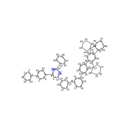 c1ccc(-c2ccc(-c3cc(-c4cccc(-c5cccc(-c6ccc7c(c6)C6(CCCCC6)c6cc8c(cc6-7)C6(CCCCC6)c6ccccc6-8)c5)c4)nc(-c4ccccc4)n3)cc2)cc1